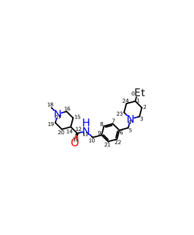 CCC1CCN(Cc2ccc(CNC(=O)C3CCN(C)CC3)cc2)CC1